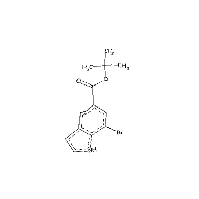 CC(C)(C)OC(=O)c1cc(Br)c2[nH]ccc2c1